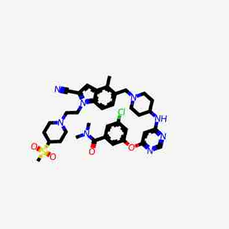 Cc1c(CN2CCC(Nc3cc(Oc4cc(Cl)cc(C(=O)N(C)C)c4)ncn3)CC2)ccc2c1cc(C#N)n2CCN1CCC(S(C)(=O)=O)CC1